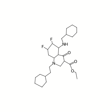 CCOC(=O)C1CN(CCC2CCCCC2)C2CC(F)C(F)C(NCC3CCCCC3)C2C1=O